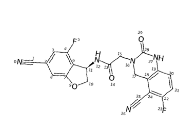 N#Cc1cc(F)c2c(c1)OC[C@@H]2NC(=O)CN1Cc2c(ccc(F)c2C#N)NC1=O